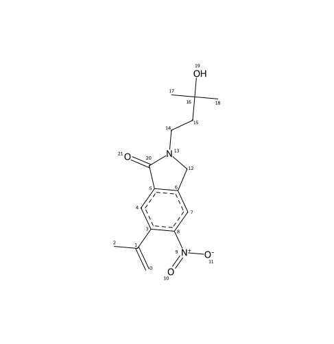 C=C(C)c1cc2c(cc1[N+](=O)[O-])CN(CCC(C)(C)O)C2=O